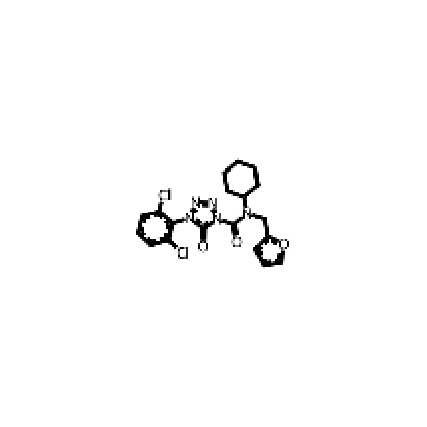 O=C(N(Cc1ccco1)C1CCCCC1)n1nnn(-c2c(Cl)cccc2Cl)c1=O